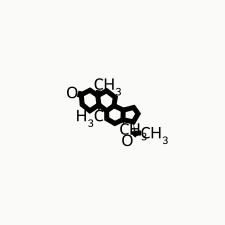 CC(=O)[C@H]1CCC2C3CCC4(C)CC(=O)CC[C@]4(C)C3CC[C@@]21C